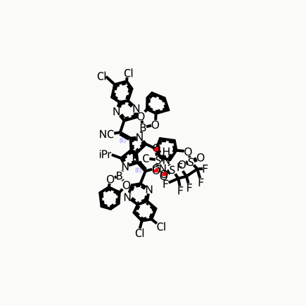 CC(C)c1c2/c(=C(\C#N)c3cnc4cc(Cl)c(Cl)cc4n3)n(B3Oc4ccccc4O3)c(-c3ccc(OS(=O)(=O)C(F)(F)C(F)(F)C(F)(F)S(=O)(=O)NS(=O)(=O)C(F)(F)F)cc3)c2/c(=C(\C#N)c2cnc3cc(Cl)c(Cl)cc3n2)n1B1Oc2ccccc2O1